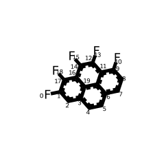 Fc1[c]c2ccc3ccc(F)c4c(F)c(F)c(c1F)c2c34